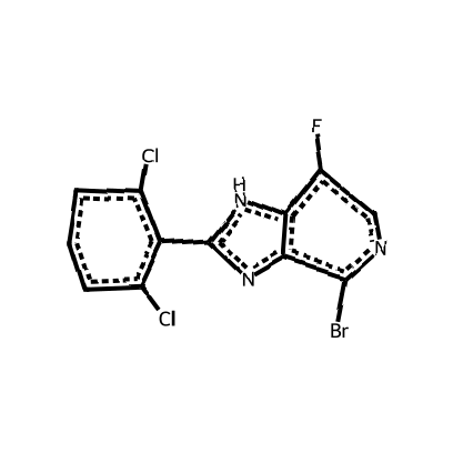 Fc1cnc(Br)c2nc(-c3c(Cl)cccc3Cl)[nH]c12